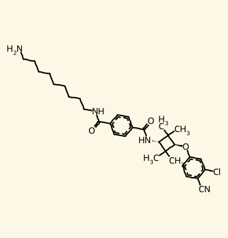 CC1(C)[C@H](NC(=O)c2ccc(C(=O)NCCCCCCCCCN)cc2)C(C)(C)[C@H]1Oc1ccc(C#N)c(Cl)c1